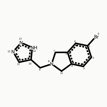 Brc1ccc2c(c1)CN(Cc1cnn[nH]1)C2